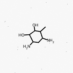 CC1C(N)CC(N)C(O)C1O